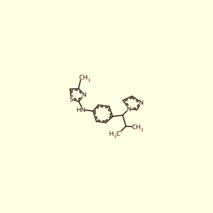 Cc1csc(Nc2ccc(C(C(C)C)n3ccnc3)cc2)n1